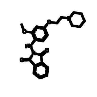 COc1cc(OCCN2CCCCC2)ccc1NN1C(=O)c2ccccc2C1=O